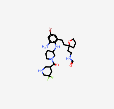 Nc1cc(Br)cc(CCC2(CCNC=O)CCCO2)c1NC1CCCN(C(=O)C2CNCC(F)(F)C2)C1